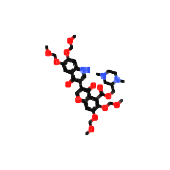 COCOc1cc2[nH]cc(-c3coc4cc(OCOC)c(OCOC)c(C(=O)OCC5CN(C)CCN5C)c4c3=O)c(=O)c2cc1OCOC